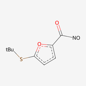 CC(C)(C)Sc1ccc(C(=O)N=O)o1